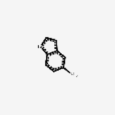 Nc1ccc2[te]ccc2c1